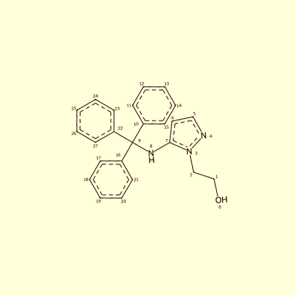 OCCn1nccc1NC(c1ccccc1)(c1ccccc1)c1ccccc1